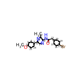 COc1ccc(-c2cnc(NC(=O)Cc3ccc(Br)cc3)c(C)n2)cc1